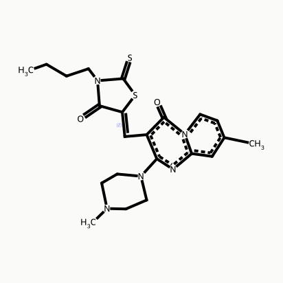 CCCCN1C(=O)/C(=C/c2c(N3CCN(C)CC3)nc3cc(C)ccn3c2=O)SC1=S